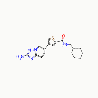 Nc1nc2ccc(-c3csc(C(=O)NCC4CCCCC4)c3)cn2n1